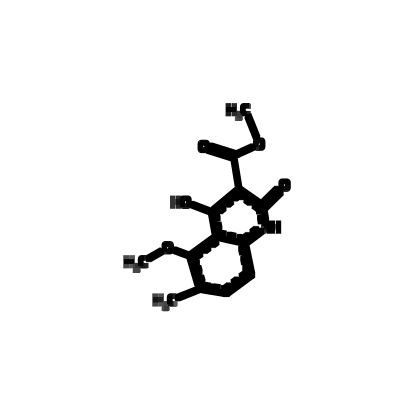 COC(=O)c1c(O)c2c(OC)c(C)ccc2[nH]c1=O